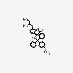 COc1ccc(C(Nc2nc(F)nn3c(CC(O)CO)ccc23)(c2ccccc2)c2ccccc2)cc1